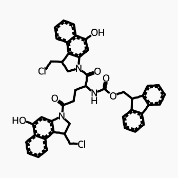 O=C(NC(CCC(=O)N1CC(CCl)c2c1cc(O)c1ccccc21)C(=O)N1CC(CCl)c2c1cc(O)c1ccccc21)OCC1c2ccccc2-c2ccccc21